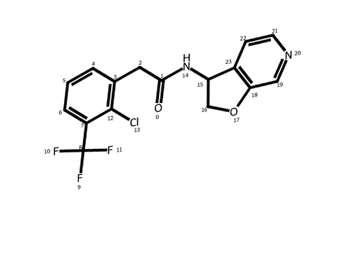 O=C(Cc1cccc(C(F)(F)F)c1Cl)NC1COc2cnccc21